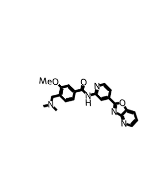 COc1cc(C(=O)Nc2cc(-c3nc4ncccc4o3)ccn2)ccc1CN(C)C